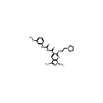 Cc1nn(C)c2nc(OCCN3CCCC3)c(C(=O)NC(=O)Nc3cccc(OC(C)C)c3)cc12